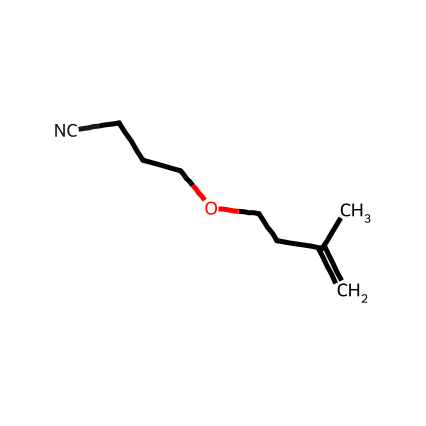 C=C(C)CCOCCCC#N